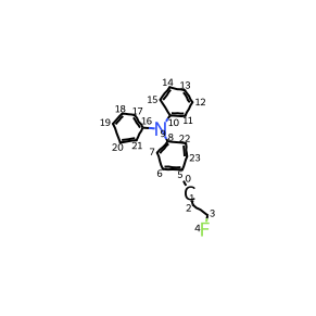 CCCCF.c1ccc(N(c2ccccc2)c2ccccc2)cc1